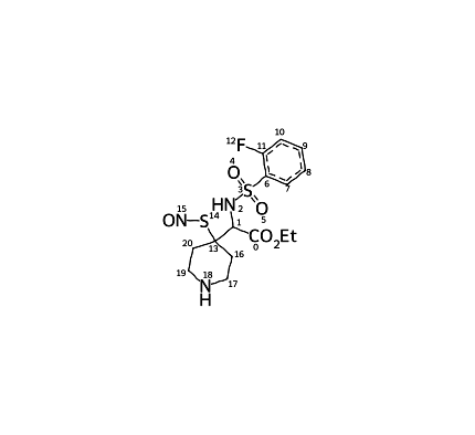 CCOC(=O)C(NS(=O)(=O)c1ccccc1F)C1(SN=O)CCNCC1